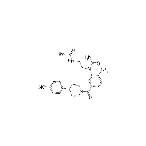 Cc1ccc(C(=O)N2CCC(c3ccc(C#N)cc3)CC2)cc1N(CCNC(=O)C(C)C)C(N)=O